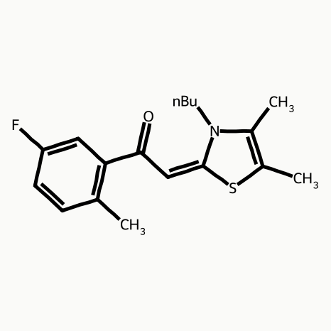 CCCCN1C(=CC(=O)c2cc(F)ccc2C)SC(C)=C1C